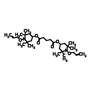 C=CCON1C(C)(C)CC(OC(=O)CCCC(=O)OC2CC(C)(C)N(OCC=C)C(C)(C)C2)CC1(C)C